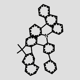 CC1(C)c2cc3ccccc3cc2-c2c(-c3cc(-c4ccccc4)ccc3N(c3ccccc3)c3ccccc3-c3cccc4ccccc34)cccc21